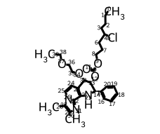 CCCCC(Cl)CCCOC(=O)O[C@@H]1[C@@H](c2ccccc2)Nc2c(ccn3c(C)c(C)nc23)[C@H]1OCCOCC